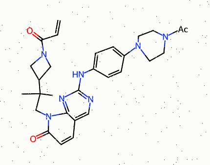 C=CC(=O)N1CC(C(C)(C)Cn2c(=O)ccc3cnc(Nc4ccc(N5CCN(C(C)=O)CC5)cc4)nc32)C1